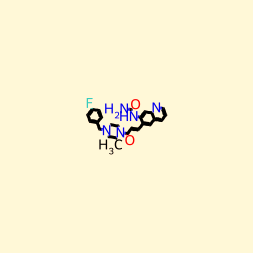 C[C@@H]1CN(Cc2ccc(F)cc2)CCN1C(=O)/C=C/c1cc2cccnc2cc1NC(N)=O